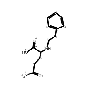 NC(=O)CC[C@H](NCCc1ccccc1)C(=O)O